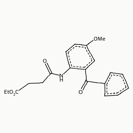 CCOC(=O)CCC(=O)Nc1ccc(OC)cc1C(=O)c1ccccc1